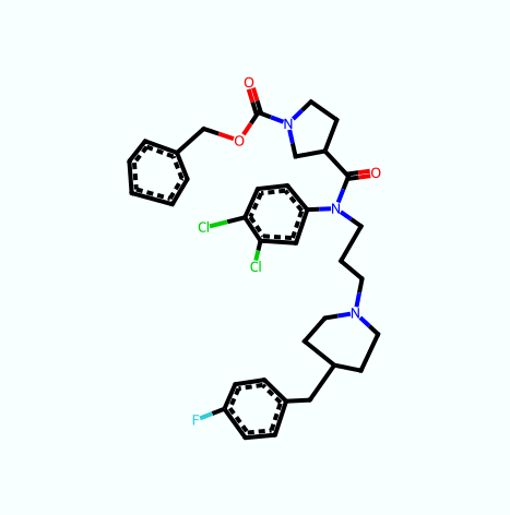 O=C(OCc1ccccc1)N1CCC(C(=O)N(CCCN2CCC(Cc3ccc(F)cc3)CC2)c2ccc(Cl)c(Cl)c2)C1